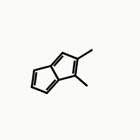 CC1=C(C)C2=CC=CC2=C1